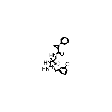 CC1(CNC(=O)C2C[C@H]2c2ccccc2)NC(=N)N(Cc2cccc(Cl)c2)C1=O